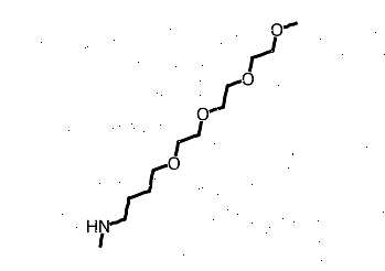 CNCCCCOCCOCCOCCOC